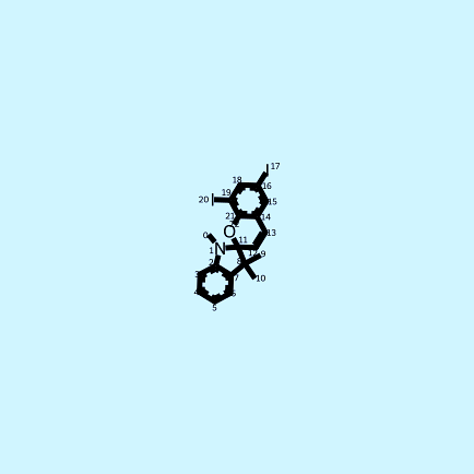 CN1c2ccccc2C(C)(C)C12C=Cc1cc(I)cc(I)c1O2